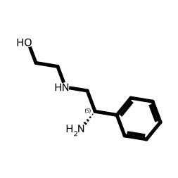 N[C@H](CNCCO)c1ccccc1